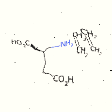 C=C.C=C.N[C@@H](CC(=O)O)C(=O)O